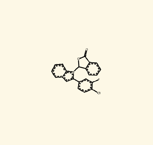 O=C1OC(n2c(-c3ccc(Cl)c(F)c3)cc3ccccc32)c2ccccc21